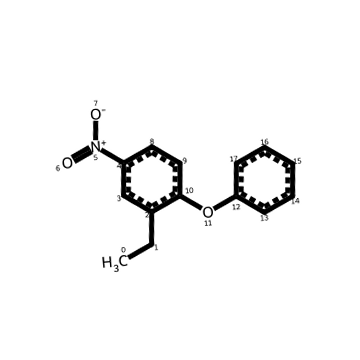 CCc1cc([N+](=O)[O-])ccc1Oc1ccccc1